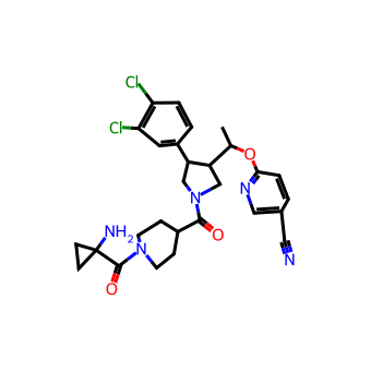 CC(Oc1ccc(C#N)cn1)C1CN(C(=O)C2CCN(C(=O)C3(N)CC3)CC2)CC1c1ccc(Cl)c(Cl)c1